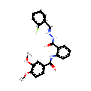 COc1ccc(C(=O)Nc2ccccc2C(=O)N/N=C/c2ccccc2F)cc1OC